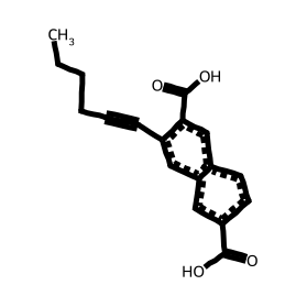 CCCCC#Cc1cc2cc(C(=O)O)ccc2cc1C(=O)O